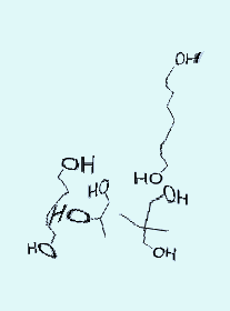 CC(C)(CO)CO.CC(O)CO.OCCCCCCO.OCCCCO